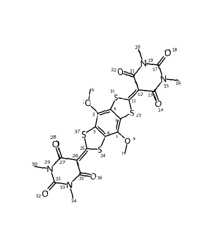 COc1c2c(c(OC)c3c1SC(=C1C(=O)N(C)C(=O)N(C)C1=O)S3)SC(=C1C(=O)N(C)C(=O)N(C)C1=O)S2